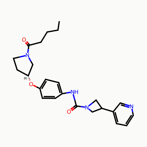 CCCCC(=O)N1CC[C@@H](Oc2ccc(NC(=O)N3CC(c4cccnc4)C3)cc2)C1